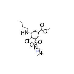 CCCCNc1cc(C(=O)OC)cc(S(=O)(=O)/N=C/N(C)C)c1Cl